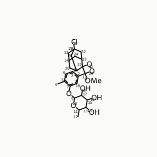 COC1(c2ccc(C)c(OC3OC(C)C(O)C(O)C3O)c2)OOC12C1CC3CC2CC(Cl)(C3)C1